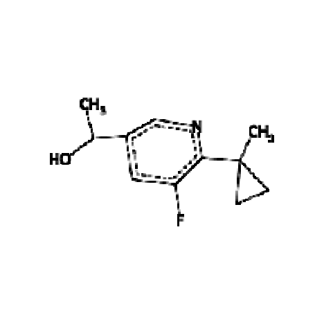 CC(O)c1cnc(C2(C)CC2)c(F)c1